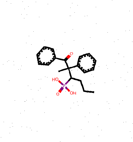 CCCC(C(C)(C(=O)c1ccccc1)c1ccccc1)P(=O)(O)O